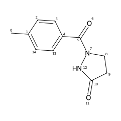 Cc1ccc(C(=O)N2CCC(=O)N2)cc1